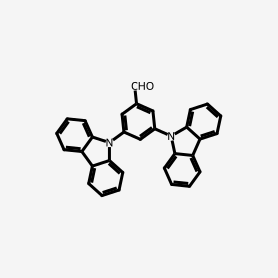 O=Cc1cc(-n2c3ccccc3c3ccccc32)cc(-n2c3ccccc3c3ccccc32)c1